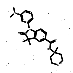 CN(C)c1cccc(N2C(=O)C(C)(C)c3cc(C(=O)NC4(C)CCOCC4)ccc32)c1